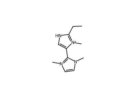 CCc1[nH]cc(-c2n(C)cc[n+]2C)[n+]1C